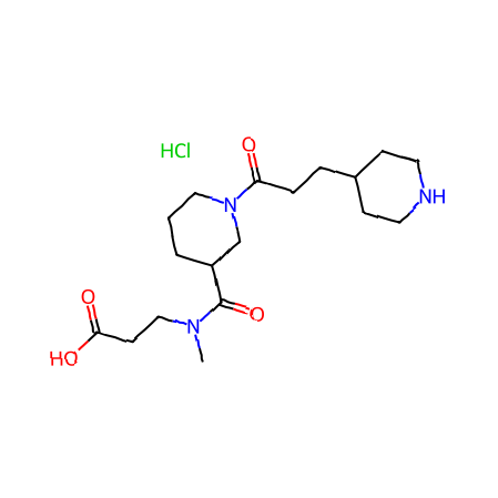 CN(CCC(=O)O)C(=O)C1CCCN(C(=O)CCC2CCNCC2)C1.Cl